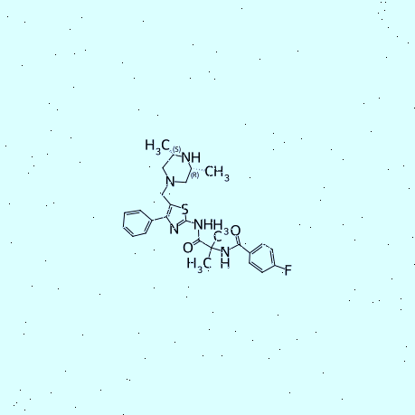 C[C@@H]1CN(Cc2sc(NC(=O)C(C)(C)NC(=O)c3ccc(F)cc3)nc2-c2ccccc2)C[C@H](C)N1